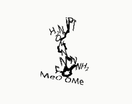 COc1cc2c(N)nc(N3CCN(C(=O)C[C@@H](N)CC(C)C)CC3)nc2c(F)c1OC